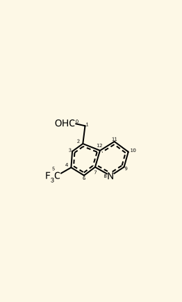 O=CCc1cc(C(F)(F)F)cc2ncccc12